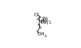 CCCCN(CCCl)NC